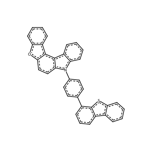 c1ccc2c(c1)oc1ccc3c(c4ccccc4n3-c3ccc(-c4cccc5c4sc4ccccc45)cc3)c12